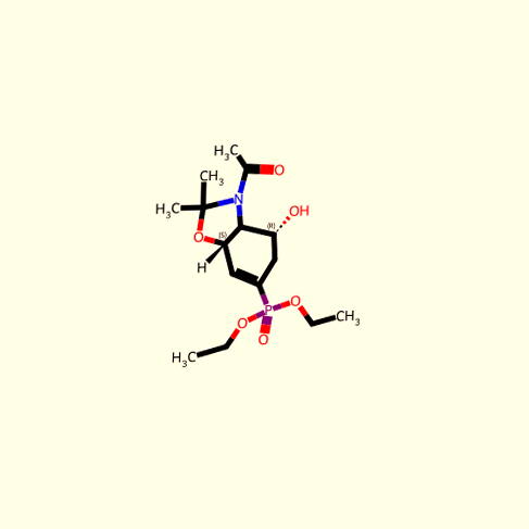 CCOP(=O)(OCC)C1=C[C@@H]2OC(C)(C)N(C(C)=O)C2[C@H](O)C1